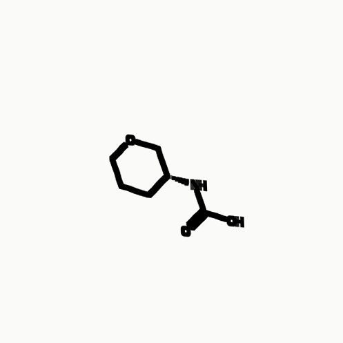 O=C(O)N[C@@H]1CCCOC1